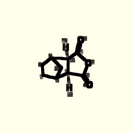 O=C1OC(=O)[C@H]2C3CCC(C3)[C@@H]12